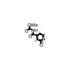 COC(=O)NC(=O)c1ccnc(Cl)c1